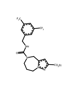 CCOC(=O)c1cc2n(n1)CCCN(C(=O)NCc1cc(C(F)(F)F)cc(C(F)(F)F)c1)C2